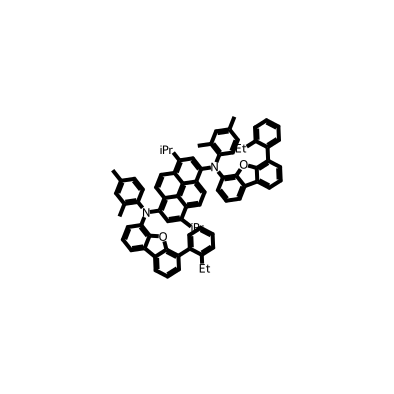 CCc1ccccc1-c1cccc2c1oc1c(N(c3ccc(C)cc3C)c3cc(C(C)C)c4ccc5c(N(c6ccc(C)cc6C)c6cccc7c6oc6c(-c8ccccc8CC)cccc67)cc(C(C)C)c6ccc3c4c65)cccc12